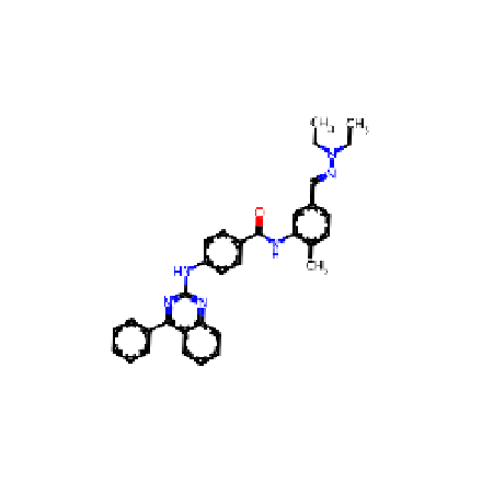 CCN(CC)N=Cc1ccc(C)c(NC(=O)c2ccc(Nc3nc(-c4ccccc4)c4ccccc4n3)cc2)c1